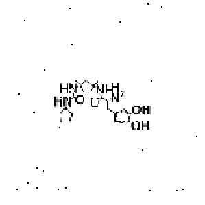 CC(C)(CC(C)(C)NC(=O)[C@H](N)Cc1ccc(O)c(O)c1)NC(=O)NC1CCCC1